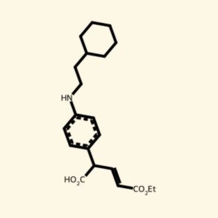 CCOC(=O)/C=C/C(C(=O)O)c1ccc(NCCC2CCCCC2)cc1